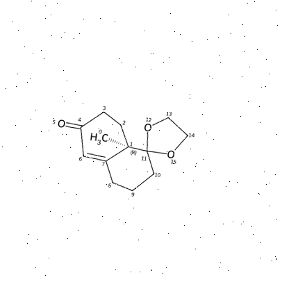 C[C@@]12CCC(=O)C=C1CCCC21OCCO1